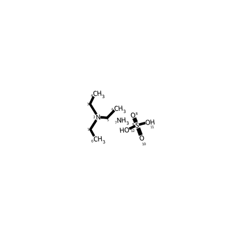 CCN(CC)CC.N.O=S(=O)(O)O